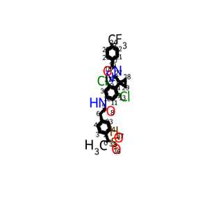 CC(c1ccc(CC(=O)Nc2cc(Cl)c(C3(c4noc(-c5ccc(C(F)(F)F)cc5)n4)CC3)c(Cl)c2)cc1)[SH](=O)=O